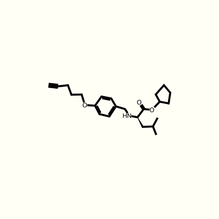 C#CCCCOc1ccc(CN[C@H](CC(C)C)C(=O)OC2CCCC2)cc1